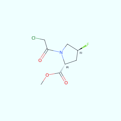 COC(=O)[C@H]1C[C@H](F)CN1C(=O)CCl